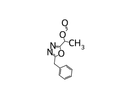 CC(OC=O)c1nnc(Cc2ccccc2)o1